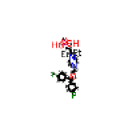 CCC(CC)(CCP(=O)(O)O)N1CCN(CCOC(c2ccc(F)cc2)c2ccc(F)cc2)CC1